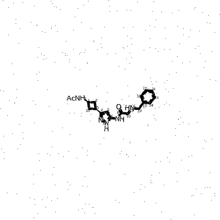 CC(=O)N[C@H]1C[C@@H](c2cc(NC(=O)CNCc3ccccc3)[nH]n2)C1